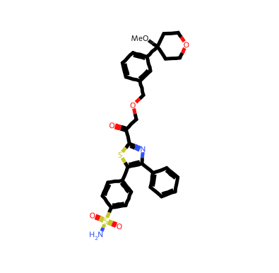 COC1(c2cccc(COCC(=O)c3nc(-c4ccccc4)c(-c4ccc(S(N)(=O)=O)cc4)s3)c2)CCOCC1